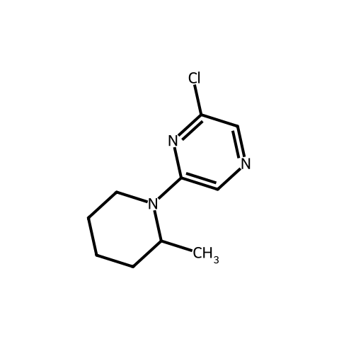 CC1CCCCN1c1cncc(Cl)n1